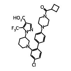 O=C(O)c1cnn(C2CCCN(c3cc(Cl)ccc3-c3ccc(N4CCN(C(=O)C5CCC5)CC4)cc3)C2)c1C(F)(F)F